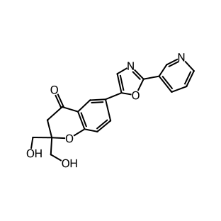 O=C1CC(CO)(CO)Oc2ccc(-c3cnc(-c4cccnc4)o3)cc21